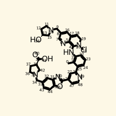 Cc1c(NC2=c3ncc(CN4CC[C@@H](O)C4)cc3=CCN2Cl)cccc1-c1cc(-c2nc3cc(CN4CC[C@@H](C(=O)O)C4)ccc3o2)ccn1